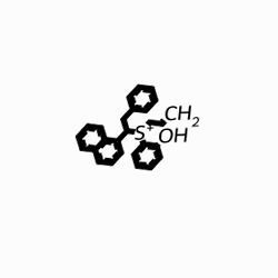 C=CC[S+](c1ccccc1O)C(Cc1ccccc1)c1cccc2ccccc12